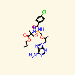 CCCOC(=O)C(C)(C)NP(=O)(CO[C@@H](C)Cn1cnc2c(N)ncnc21)NC(=O)c1ccc(Cl)cc1